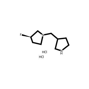 Cl.Cl.F[C@@H]1CCN(CC2CCNC2)C1